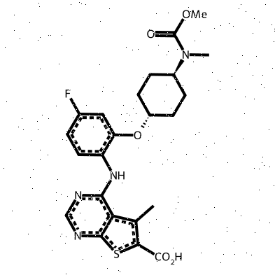 COC(=O)N(C)[C@H]1CC[C@H](Oc2cc(F)ccc2Nc2ncnc3sc(C(=O)O)c(C)c23)CC1